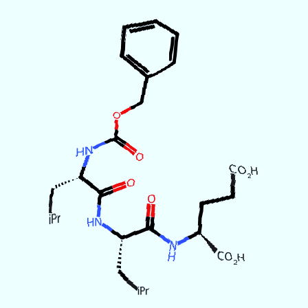 CC(C)C[C@H](NC(=O)OCc1ccccc1)C(=O)N[C@@H](CC(C)C)C(=O)N[C@@H](CCC(=O)O)C(=O)O